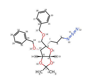 CC1(C)O[C@H]2O[C@](CCCN=[N+]=[N-])(COCc3ccccc3)[C@@H](OCc3ccccc3)[C@H]2O1